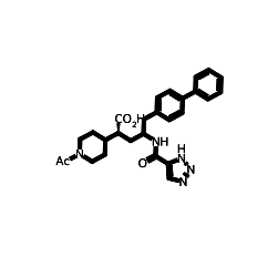 CC(=O)N1CCC([C@H](CC(Cc2ccc(-c3ccccc3)cc2)NC(=O)c2cnn[nH]2)C(=O)O)CC1